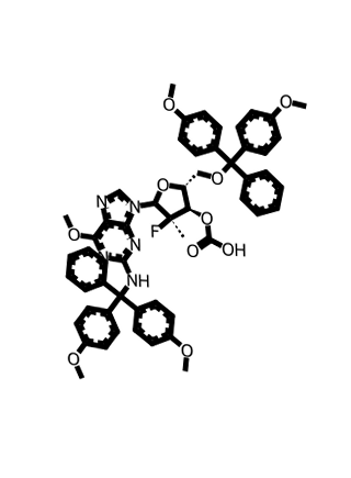 COc1ccc(C(Nc2nc(OC)c3ncn(C4O[C@H](COC(c5ccccc5)(c5ccc(OC)cc5)c5ccc(OC)cc5)[C@@H](OC(=O)O)[C@@]4(C)F)c3n2)(c2ccccc2)c2ccc(OC)cc2)cc1